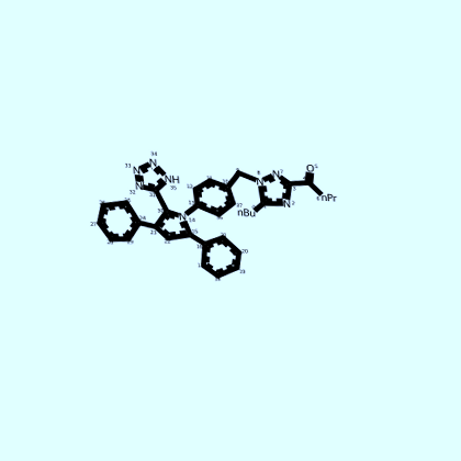 CCCCc1nc(C(=O)CCC)nn1Cc1ccc(-n2c(-c3ccccc3)cc(-c3ccccc3)c2-c2nnn[nH]2)cc1